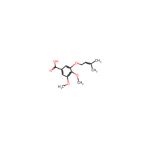 COc1cc(C(=O)O)cc(OCC=C(C)C)c1OC